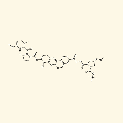 COC[C@@H]1C[C@H](C(=O)OCC(=O)c2ccc3c(c2)COc2cc4c(cc2-3)CC[C@H](OC(=O)C2CC[C@H](C)N2C(=O)C(NC(=O)OC)C(C)C)C4=O)N(C(=O)OC(C)(C)C)C1